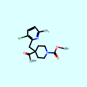 COC(=O)C1(Cc2nc(C)ccc2Br)CCN(C(=O)OC(C)(C)C)CC1